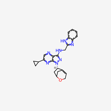 C1=C2CC(C[C@@H]2n2nc(NCc3nc4ccccc4[nH]3)c3ncc(C4CC4)nc32)OC1